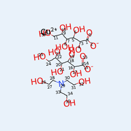 O=C([O-])C(O)C(O)C(O)C(O)CO.O=C([O-])C(O)C(O)C(O)C(O)CO.OCCN(CCO)CCO.[Cu+2]